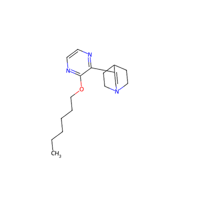 CCCCCCOc1nccnc1C1=CN2CCC1CC2